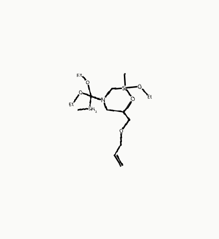 C=CCOCC1CN(C(OCC)(OCC)[SiH2]C)C[Si](C)(OCC)O1